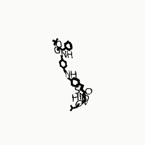 CC(C)CO[C@H](C)ONC(=O)c1cc2ccc(CNCC3CCC(CNC(C(=O)OC(C)(C)C)c4ccccc4)CC3)cc2s1